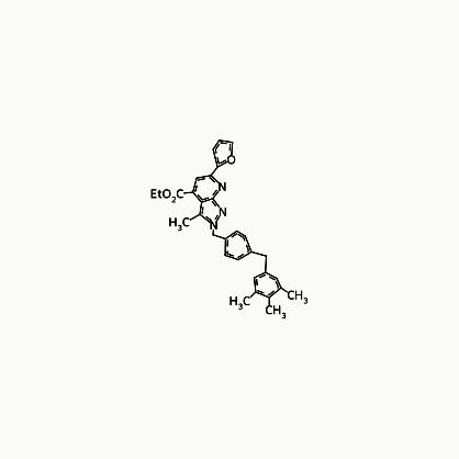 CCOC(=O)c1cc(-c2ccco2)nc2nn(Cc3ccc(Cc4cc(C)c(C)c(C)c4)cc3)c(C)c12